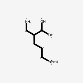 CCCCCCCCC(CN)C(O)O